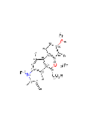 C=CC(C)N(CC)c1cc(C)c(C2=CC(C)=C(OCC)CC2)c(C(OC(C)C)C(=O)O)c1C